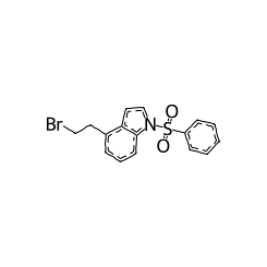 O=S(=O)(c1ccccc1)n1ccc2c(CCBr)cccc21